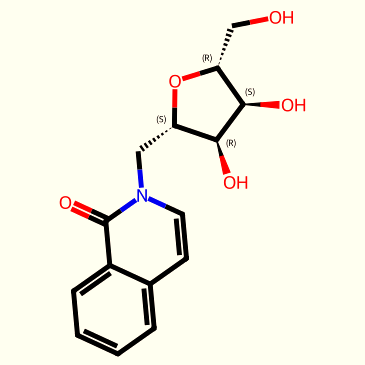 O=c1c2ccccc2ccn1C[C@@H]1O[C@H](CO)[C@@H](O)[C@H]1O